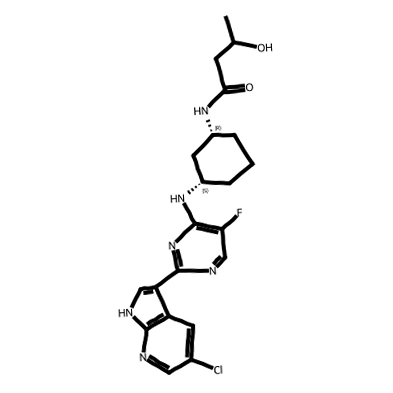 CC(O)CC(=O)N[C@@H]1CCC[C@H](Nc2nc(-c3c[nH]c4ncc(Cl)cc34)ncc2F)C1